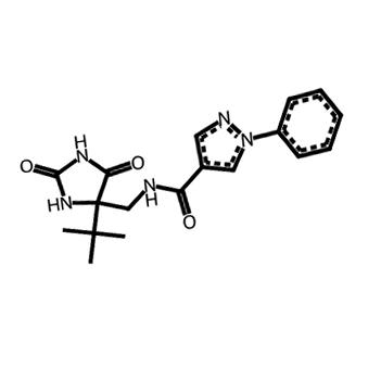 CC(C)(C)C1(CNC(=O)c2cnn(-c3ccccc3)c2)NC(=O)NC1=O